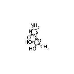 C[C@H]1O[C@@H](n2ccc(N)nc2=O)[C@H](O)[C@@H]1O